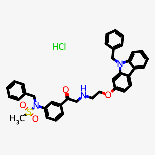 CS(=O)(=O)N(Cc1ccccc1)c1cccc(C(=O)CNCCOc2ccc3c4ccccc4n(Cc4ccccc4)c3c2)c1.Cl